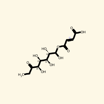 CCC(=O)[C@H](O)[C@@H](O)[C@H](O)[C@H](O)C(O)OC(=O)/C=C/C(=O)O